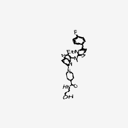 CCc1nc2ccc(N3CCC(C(=O)NCCO)CC3)nn2c1N(C)c1nc(-c2ccc(F)cc2)cs1